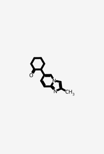 Cc1cn2cc(C3CCCCC3=O)ccc2n1